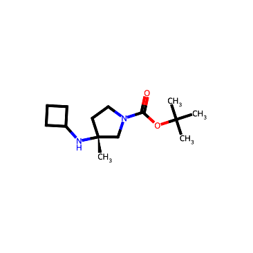 CC(C)(C)OC(=O)N1CC[C@@](C)(NC2CCC2)C1